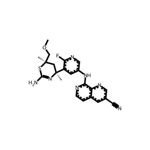 COC[C@@]1(C)C[C@@](C)(c2cc(Nc3nccc4cc(C#N)cnc34)cnc2F)N=C(N)S1